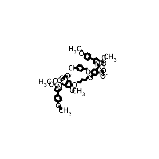 CCOc1ccc(C2=CN(C(=O)c3cc(OC)c(OCCCCCOc4cc([N+](=O)[O-])c(C(=O)N5C=C(c6ccc(OCC)cc6)C[C@H]5C(=O)OC)cc4OCc4ccc(Cl)cc4)cc3[N+](=O)[O-])[C@H](C(=O)OC)C2)cc1